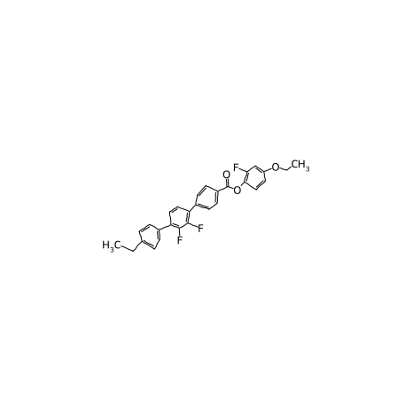 CCOc1ccc(OC(=O)c2ccc(-c3ccc(-c4ccc(CC)cc4)c(F)c3F)cc2)c(F)c1